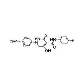 N#Cc1ccc(N2CC(O)=C(C(=O)Nc3ccc(F)cc3)C(=S)N2)cn1